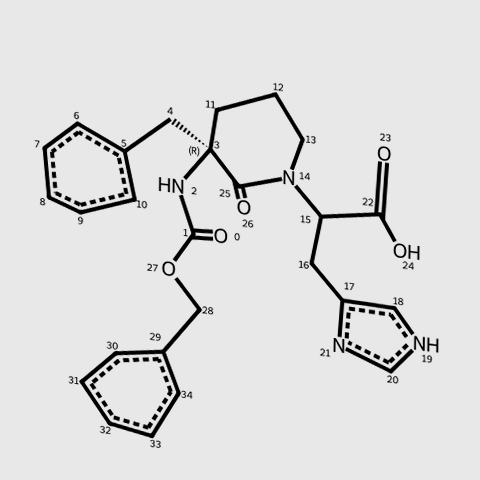 O=C(N[C@@]1(Cc2ccccc2)CCCN(C(Cc2c[nH]cn2)C(=O)O)C1=O)OCc1ccccc1